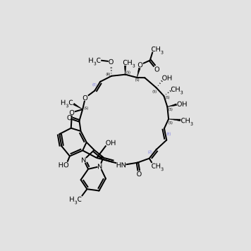 CO[C@H]1/C=C/O[C@@]2(C)OC3C#CC(O)=c4c(O)c(c5c(nc6cc(C)ccn65)c4=C3C2=O)NC(=O)/C(C)=C\C=C\[C@H](C)[C@H](O)[C@@H](C)[C@@H](O)C[C@H](OC(C)=O)[C@@H]1C